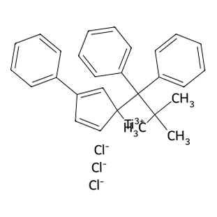 CC(C)(C)C(c1ccccc1)(c1ccccc1)[C]1([Ti+3])C=CC(c2ccccc2)=C1.[Cl-].[Cl-].[Cl-]